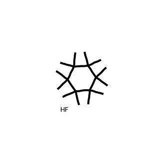 CC1(C)C(C)(C)C(C)(C)C(C)(C)C(C)(C)C1(C)C.F